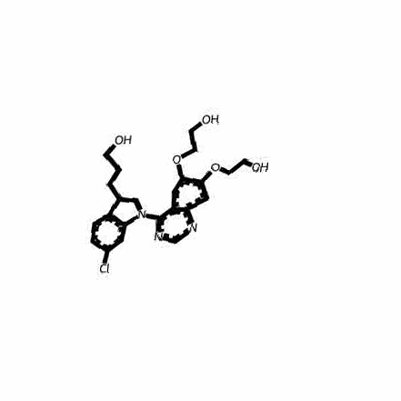 OCCCC1CN(c2ncnc3cc(OCCO)c(OCCO)cc23)c2cc(Cl)ccc21